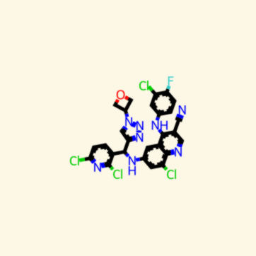 N#Cc1cnc2c(Cl)cc(NC(c3cn(C4COC4)nn3)c3ccc(Cl)nc3Cl)cc2c1Nc1ccc(F)c(Cl)c1